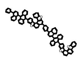 c1ccc(-c2ccc(-c3c4ccccc4c(-c4ccc5c(c4)oc4ccc6c(-c7ccc(-c8ccc(-c9c%10ccccc%10c(-c%10ccc%11c(c%10)oc%10ccc%12ccc%13c%14ccccc%14oc%13c%12c%10%11)c%10ccccc9%10)c9ccccc89)cc7)cc7oc8ccccc8c7c6c45)c4ccccc34)c3ccccc23)cc1